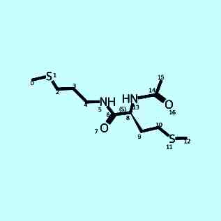 CSCCCNC(=O)[C@H](CCSC)NC(C)=O